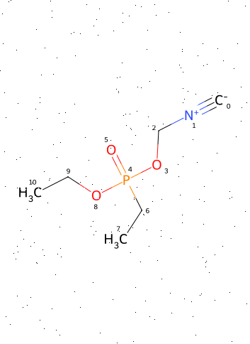 [C-]#[N+]COP(=O)(CC)OCC